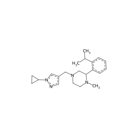 CC(C)c1ccccc1C1CN(Cc2cnn(C3CC3)c2)CCN1C